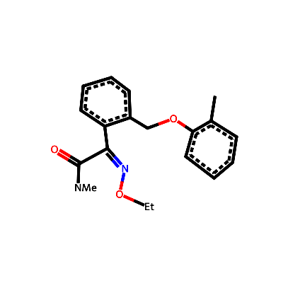 CCON=C(C(=O)NC)c1ccccc1COc1ccccc1C